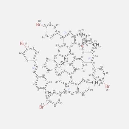 Cc1ccc(/C=C(/c2ccc(Br)cc2)c2cc[c]([Sn]([c]3ccc(/C(=C\c4ccc(C)cc4)c4ccc(Br)cc4)cc3)([c]3ccc(/C(=C\c4ccc(C)cc4)c4ccc(Br)cc4)cc3)[c]3ccc(/C(=C\c4ccc(C)cc4)c4ccc(Br)cc4)cc3)cc2)cc1